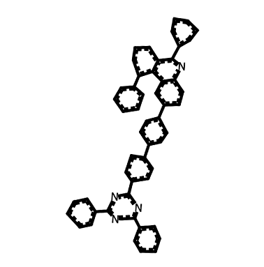 c1ccc(-c2nc(-c3ccccc3)nc(-c3ccc(-c4ccc(-c5ccc6nc(-c7ccccc7)c7cccc(-c8ccccc8)c7c6c5)cc4)cc3)n2)cc1